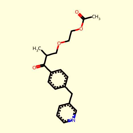 CC(=O)OCCOCC(C)C(=O)c1ccc(Cc2cccnc2)cc1